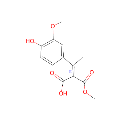 COC(=O)/C(C(=O)O)=C(\C)c1ccc(O)c(OC)c1